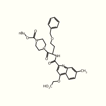 CCCCOC(=O)N1CCN(C(=O)C(CCOCc2ccccc2)NC(=O)c2cc(OCC(=O)O)c3ccc(C)cc3n2)CC1